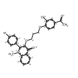 CC(=O)c1ccc(OCCCOc2c(-c3ccc(F)cc3)n(C)c3ccccc3c2=O)c(Cl)c1